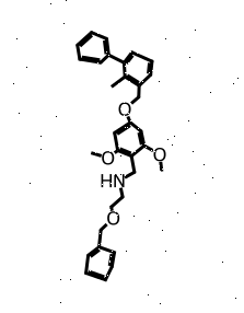 COc1cc(OCc2cccc(-c3ccccc3)c2C)cc(OC)c1CNCCOCc1ccccc1